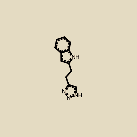 c1ccc2[nH]c(CCc3c[nH]nn3)cc2c1